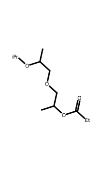 CCC(=O)OC(C)COCC(C)OC(C)C